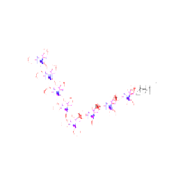 O=[N+]([O-])[O-].O=[N+]([O-])[O-].O=[N+]([O-])[O-].O=[N+]([O-])[O-].O=[N+]([O-])[O-].O=[N+]([O-])[O-].O=[N+]([O-])[O-].O=[N+]([O-])[O-].[Hf+4].[Zr+4]